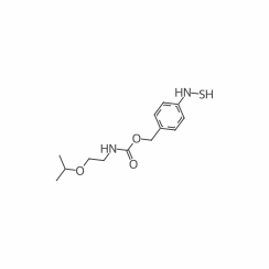 CC(C)OCCNC(=O)OCc1ccc(NS)cc1